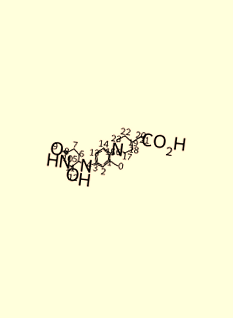 Cc1cc(NC2CCC(=O)NC2=O)ccc1N1CCC(CC(=O)O)CC1